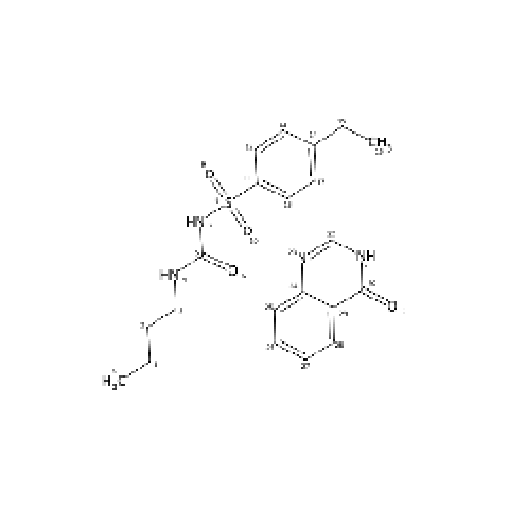 CCCCNC(=O)NS(=O)(=O)c1ccc(CC)cc1.O=c1[nH]cnc2ccccc12